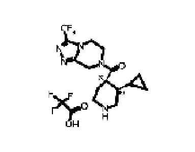 O=C(O)C(F)(F)F.O=C([C@@H]1CCNC[C@@H]1C1CC1)N1CCn2c(nnc2C(F)(F)F)C1